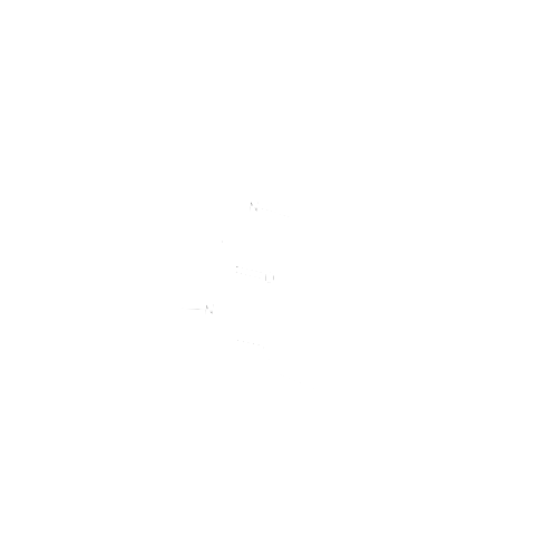 CCCCN(C)C(=O)CN(C)C